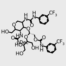 CCCCCCCCCCC(=O)N[C@H]1C(CO)OCC(NC(=O)Nc2cccc(C(F)(F)F)c2)C1O[C@H](COC(=O)Nc1cccc(C(F)(F)F)c1)OC(CO)[C@H](O)CO